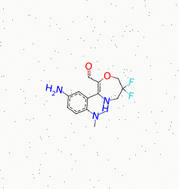 CN(C)c1ccc(N)cc1C1=C(C=O)OCC(F)(F)CN1